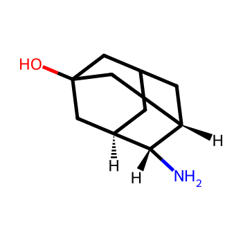 N[C@@H]1[C@@H]2CC3C[C@H]1CC(O)(C3)C2